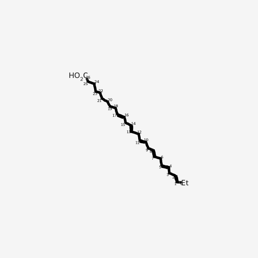 CCC=CCC=CCC=CCC=CCC=CCC=CCCCCCCCCC(=O)O